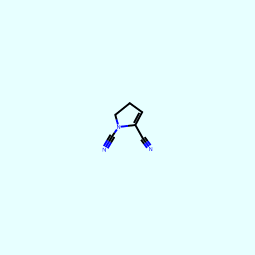 N#CC1=CCCN1C#N